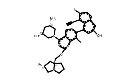 C#Cc1c(F)ccc2cc(O)cc(-c3ncc4c(N5C[C@@H](N)C[C@@H](O)C5)nc(OC[C@@]56CCCN5C[C@H](F)C6)nc4c3F)c12